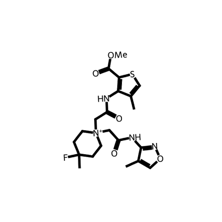 COC(=O)c1scc(C)c1NC(=O)C[N+]1(CC(=O)Nc2nocc2C)CCC(C)(F)CC1